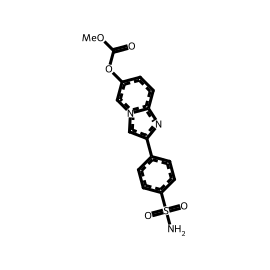 COC(=O)Oc1ccc2nc(-c3ccc(S(N)(=O)=O)cc3)cn2c1